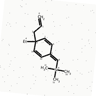 C=CCC1(CC)C=CC(=C[Si](C)(C)C)C=C1